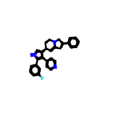 Fc1cccc(-c2[nH]cc(C3C=C4CC(c5ccccc5)CN4CC3)c2-c2ccncc2)c1